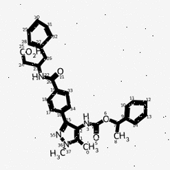 Cc1c(NC(=O)OC(C)c2ccccc2)c(-c2ccc(C(=O)NC(CC(=O)O)Cc3ccccc3)cc2)nn1C